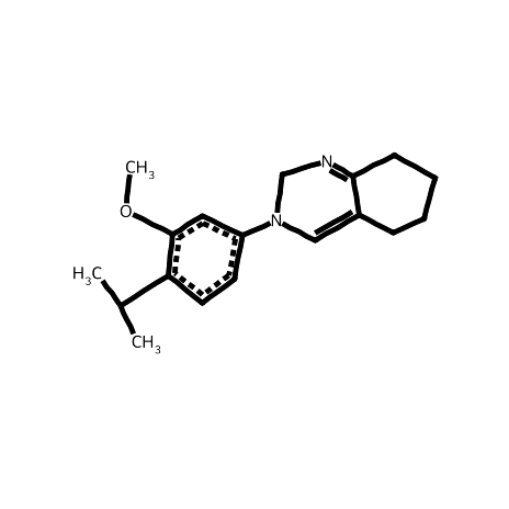 COc1cc(N2C=C3CCCCC3=NC2)ccc1C(C)C